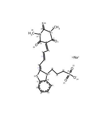 CN1C(=O)C(=C/C=C/C=C2/Sc3ccccc3N2CCCS(=O)(=O)[O-])C(=O)N(C)C1=S.[Na+]